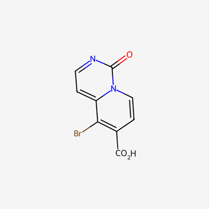 O=C(O)c1ccn2c(=O)nccc2c1Br